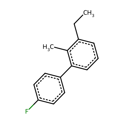 CCc1cccc(-c2ccc(F)cc2)c1C